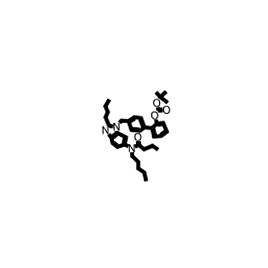 CCCCCN(C(=O)CCC)c1ccc2nc(CCCC)n(Cc3ccc(-c4ccccc4OC(=O)OC(C)(C)C)cc3)c2c1